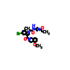 C=CC(=O)N1CC(NC(=O)Cn2cc(C(=O)N3CCc4c(cccc4OC)C3)c3cc(Br)cc(C)c32)C1